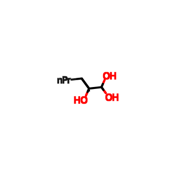 CCCC[C](O)C(O)O